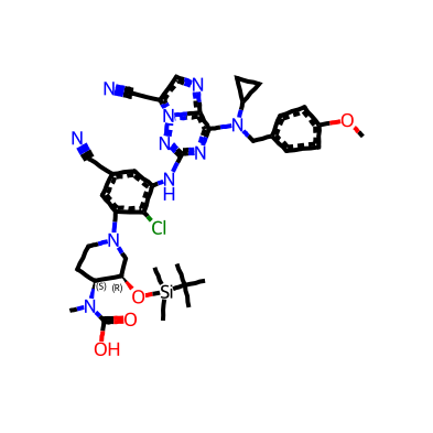 COc1ccc(CN(c2nc(Nc3cc(C#N)cc(N4CC[C@H](N(C)C(=O)O)[C@H](O[Si](C)(C)C(C)(C)C)C4)c3Cl)nn3c(C#N)cnc23)C2CC2)cc1